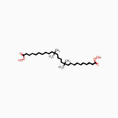 CC(C)(CCCCCCCCCC(=O)OO)CCCCC(C)(C)CCCCCCCCCC(=O)OO